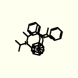 CC(C)N(C(C)C)[C]12[CH]3[CH]4[CH]5[CH]1[Fe]45321678[CH]2[CH]1[C]6(N(C(C)C)C(C)C)[C]7(P(c1ccccc1)c1ccccc1)[CH]28